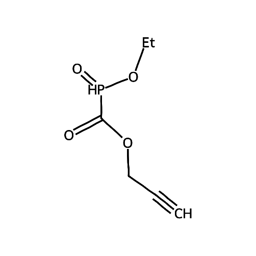 C#CCOC(=O)[PH](=O)OCC